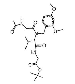 COc1ccc(CN(C(=O)CNC(C)=O)[C@H](C(=O)NCC(=O)OC(C)(C)C)C(C)C)c(OC)c1